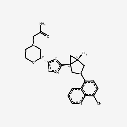 N#Cc1ccc(N2C[C@]3(c4nnc([C@H]5CN(CC(N)=O)CCO5)o4)C[C@]3(C(F)(F)F)C2)c2cccnc12